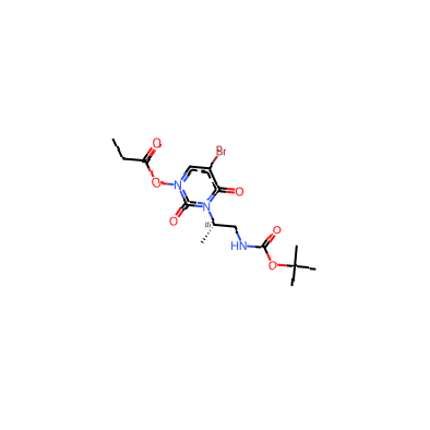 CCC(=O)On1cc(Br)c(=O)n([C@@H](C)CNC(=O)OC(C)(C)C)c1=O